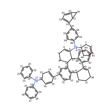 C1=CCC(N(C2=CCCC3c4cc(C5=CCC(N(c6ccccc6)c6ccccc6)C=C5)ccc4C4CCCC=C4c4ccccc4C23)c2ccc(C3=CC=C4CC43)cc2)CC1